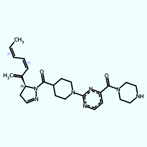 C=C(/C=C\C=C/C)[C@@H]1CC=NN1C(=O)C1CCN(c2nccc(C(=O)N3CCNCC3)n2)CC1